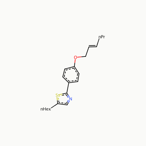 CCCC=CCOc1ccc(-c2ncc(CCCCCC)s2)cc1